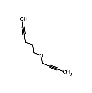 CC#CCOCCCC#CO